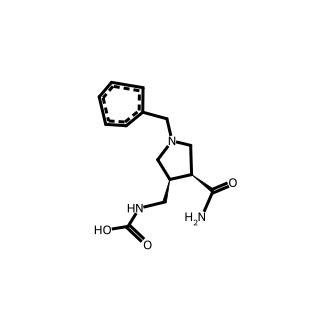 NC(=O)[C@@H]1CN(Cc2ccccc2)C[C@@H]1CNC(=O)O